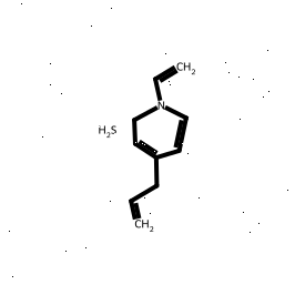 C=CCC1=CCN(C=C)C=C1.S